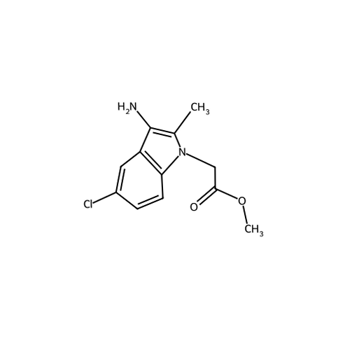 COC(=O)Cn1c(C)c(N)c2cc(Cl)ccc21